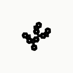 c1ccc(-n2c3ccc(N(c4ccc5sc6ccccc6c5c4)c4ccc5sc6ccccc6c5c4)cc3c3c4sc5ccccc5c4ccc32)cc1